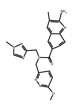 COc1ccc(CN(Cc2ncn(C)n2)C(=O)c2ccc3nc(N)c(C)cc3c2)nn1